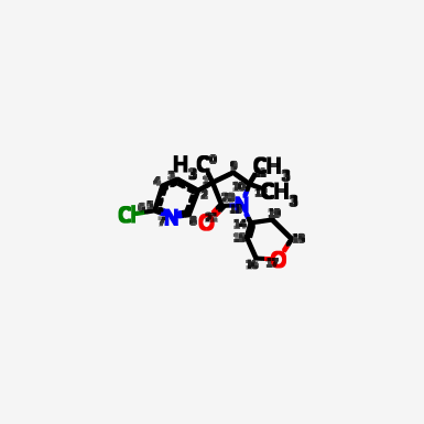 CC1(c2ccc(Cl)nc2)CC(C)(C)N(C2=CCOCC2)C1=O